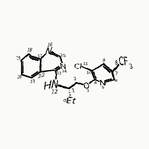 CC[C@@H](COc1ncc(C(F)(F)F)cc1Cl)Nc1ncnc2ccccc12